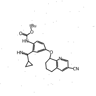 CC(C)(C)OC(=O)Nc1ccc(OC2CCCc3cc(C#N)cnc32)cc1C(=N)C1CC1